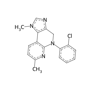 Cc1ccc2c(n1)N(c1ccccc1Cl)Cc1ncn(C)c1-2